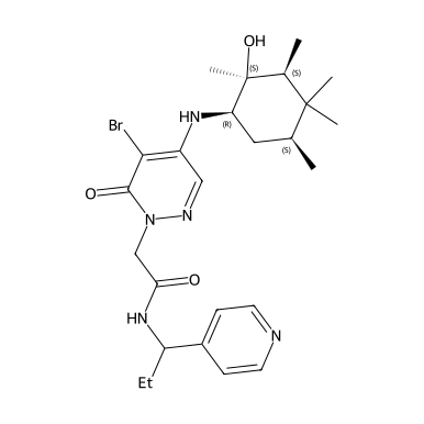 CCC(NC(=O)Cn1ncc(N[C@@H]2C[C@H](C)C(C)(C)[C@H](C)[C@]2(C)O)c(Br)c1=O)c1ccncc1